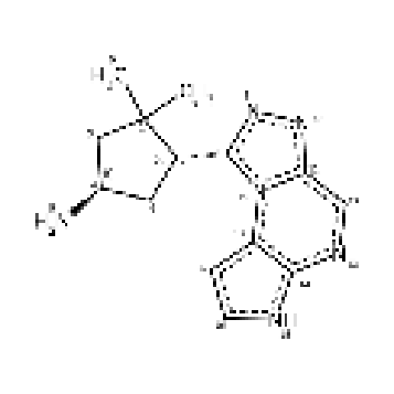 CC1(C)C[C@H](N)C[C@H]1c1nnc2cnc3[nH]ccc3n12